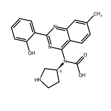 Cc1ccc2c(N(C(=O)O)[C@H]3CCNC3)nc(-c3ccccc3O)nc2c1